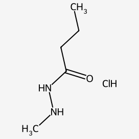 CCCC(=O)NNC.Cl